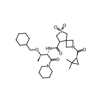 C[C@@H](OCC1CCCCC1)[C@H](NC(=O)C1CS(=O)(=O)CC12CN(C(=O)[C@H]1CC1(C)C)C2)C(=O)N1CCCCC1